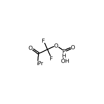 CC(C)C(=O)C(F)(F)O[PH](=O)O